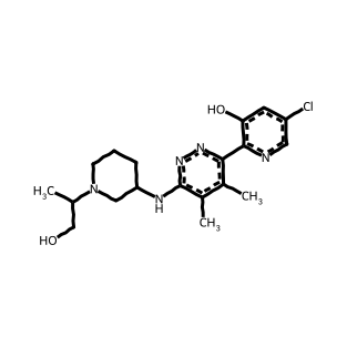 Cc1c(NC2CCCN(C(C)CO)C2)nnc(-c2ncc(Cl)cc2O)c1C